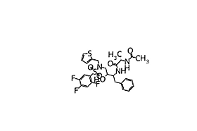 CC(=O)N[C@@H](C)C(=O)NC(Cc1ccccc1)C(O)CN(Cc1cccs1)S(=O)(=O)c1cc(F)c(F)cc1F